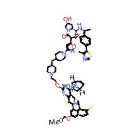 C#Cc1c(F)ccc2cc(OCOC)cc(-c3ncc4c(N5C[C@H]6CC[C@@H](C5)N6C(=O)O)nc(OCCN5CCC(CC6CCN(c7cc(C(C(=O)N8C[C@H](O)C[C@H]8C(=O)NC(C)c8ccc(-c9scnc9C)cc8)C(C)C)on7)CC6)CC5)nc4c3F)c12